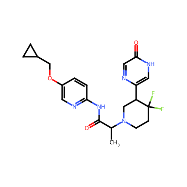 CC(C(=O)Nc1ccc(OCC2CC2)cn1)N1CCC(F)(F)C(c2c[nH]c(=O)cn2)C1